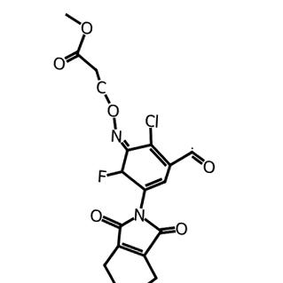 COC(=O)CCON=C1C(Cl)=C([C]=O)C=C(N2C(=O)C3=C(CCCC3)C2=O)C1F